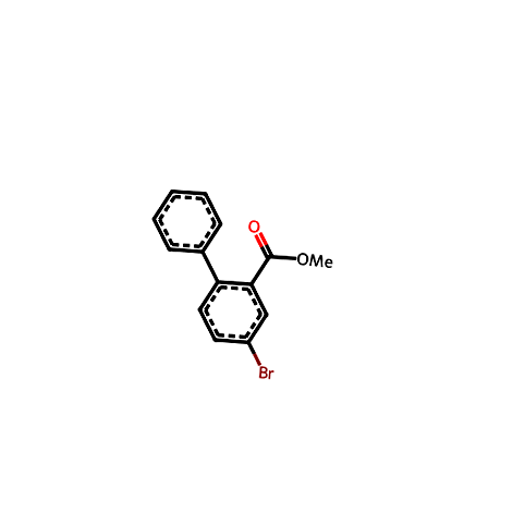 COC(=O)c1cc(Br)ccc1-c1ccccc1